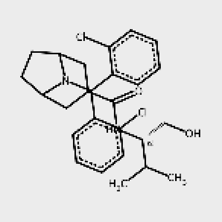 CC(C)[C@@H](CO)NC(=O)C1CC2CCC(C1)N2C(c1ccccc1Cl)c1ccccc1Cl